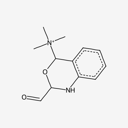 C[N+](C)(C)C1OC(C=O)Nc2ccccc21